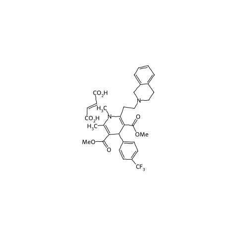 COC(=O)C1=C(C)N(C)C(CCN2CCc3ccccc3C2)=C(C(=O)OC)C1c1ccc(C(F)(F)F)cc1.O=C(O)/C=C/C(=O)O